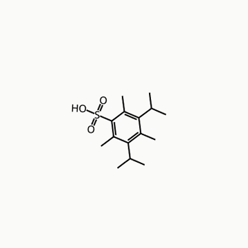 Cc1c(C(C)C)c(C)c(S(=O)(=O)O)c(C)c1C(C)C